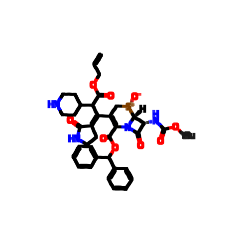 C=CCOC(=O)C(C(=C1CCNC1=O)C1=C(C(=O)OC(c2ccccc2)c2ccccc2)N2C(=O)[C@@H](NC(=O)OC(C)(C)C)[C@H]2[S@@+]([O-])C1)C1CCNCC1